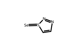 [Se]=S1C=CN=N1